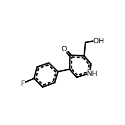 O=c1c(CO)c[nH]cc1-c1ccc(F)cc1